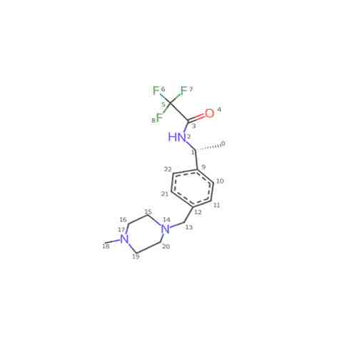 C[C@@H](NC(=O)C(F)(F)F)c1ccc(CN2CCN(C)CC2)cc1